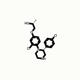 C[C@@H](O)COc1ccc(N2CCNC[C@H]2c2ccc(Cl)cc2)c(Cl)c1